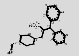 O=C(O)C(C[C@H]1CC[C@H](CBr)CC1)C(c1ccccc1)c1ccccc1